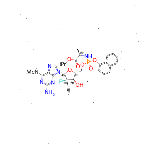 C#C[C@@]1(F)[C@H](O)[C@@H](COP(=O)(N[C@H](C)C(=O)OC(C)C)Oc2cccc3ccccc23)O[C@H]1n1cnc2c(NC)nc(N)nc21